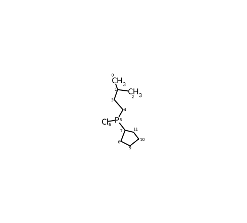 CC(C)CCP(Cl)C1CCCC1